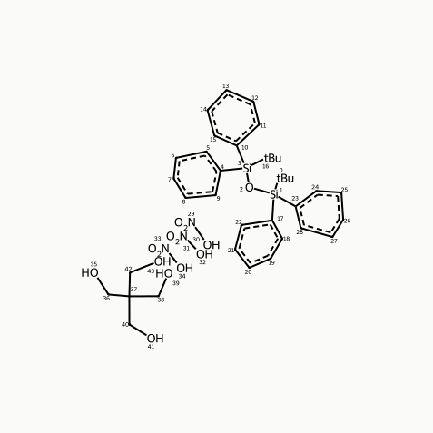 CC(C)(C)[Si](O[Si](c1ccccc1)(c1ccccc1)C(C)(C)C)(c1ccccc1)c1ccccc1.O=[N+]([O-])O.O=[N+]([O-])O.O=[N+]([O-])O.OCC(CO)(CO)CO